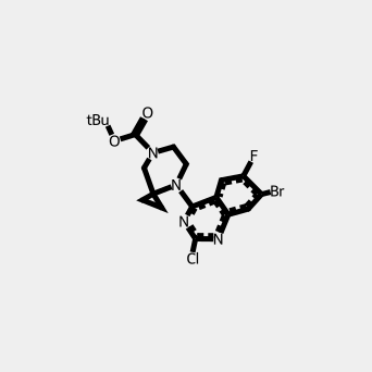 CC(C)(C)OC(=O)N1CCN(c2nc(Cl)nc3cc(Br)c(F)cc23)C2(CC2)C1